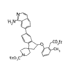 CCOC(=O)Cc1c(C)cccc1OC1CC2(CCN(C(=O)OCC)CC2)c2ccc(-c3ccc4ccnc(N)c4c3)cc21